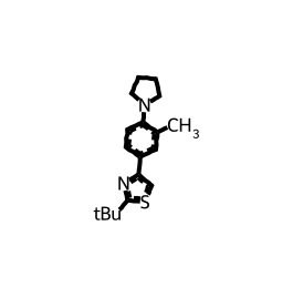 Cc1cc(-c2csc(C(C)(C)C)n2)ccc1N1CCCC1